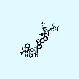 COC[C@H]1C[C@@H](c2nc3ccc4cc5c(cc4c3[nH]2)OCc2cc(-c3cnc([C@@H]4CCCN4C(=O)[C@H](NC(=O)C4CC4)c4ccccc4)[nH]3)ccc2-5)N(C(=O)CNC(=O)OC)C1